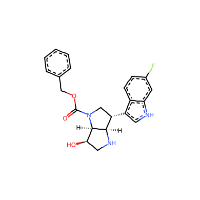 O=C(OCc1ccccc1)N1C[C@H](c2c[nH]c3cc(F)ccc23)[C@H]2NC[C@@H](O)[C@H]21